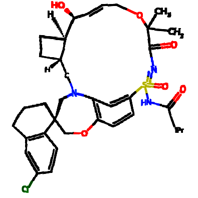 CC(C)C(=O)NS1(=O)=NC(=O)C(C)(C)OC/C=C/[C@H](O)[C@@H]2CC[C@H]2CN2C[C@@]3(CCCc4cc(Cl)ccc43)COc3ccc1cc32